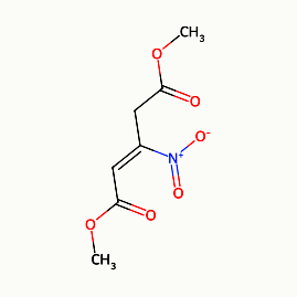 COC(=O)C=C(CC(=O)OC)[N+](=O)[O-]